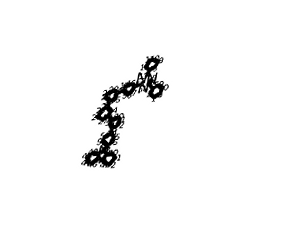 c1ccc(-c2nc(-c3ccccc3)nc(-c3ccc(-c4cccc(-c5cccc(-c6cccc(-c7ccc(-n8c9ccccc9c9ccccc98)cc7)c6)c5)c4)cc3)n2)cc1